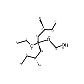 CCO[C@](C[C@H](C)CC)(C[C@@H](C)CC)OCO